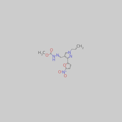 C=CCn1cc(C=NNC(=O)OC)c(-c2ccc([N+](=O)[O-])o2)n1